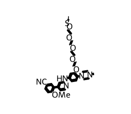 COc1ccc(C#N)cc1-c1ccnc(Nc2ccc(N3CCN(C)CC3)c(OCCOCCOCCOCCOSI)c2)c1